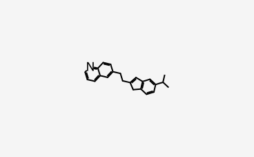 CC(C)c1ccc2c(c1)C=C(CCc1ccc3ncccc3c1)C2